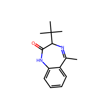 CC1=NC(C(C)(C)C)C(=O)Nc2ccccc21